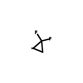 FC1(F)[C]C1